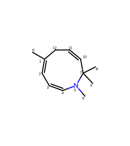 C/C1=C/C=C\N(C)C(C)(C)/C=C\C1